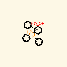 OC1(O)CC=CC(Pc2ccccc2)(Pc2ccccc2)[C@H]1c1ccccc1